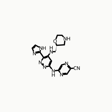 N#Cc1cnc(Nc2cc(NC[C@H]3CNCCO3)c(-c3ncc[nH]3)nn2)cn1